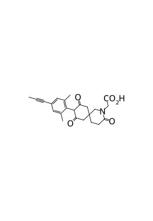 CC#Cc1cc(C)c(C2C(=O)CC3(CCC(=O)N(CC(=O)O)C3)CC2=O)c(C)c1